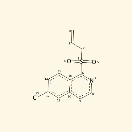 C=CCS(=O)(=O)c1nccc2cc(Cl)ccc12